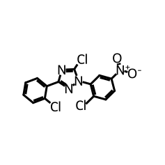 O=[N+]([O-])c1ccc(Cl)c(-n2nc(-c3ccccc3Cl)nc2Cl)c1